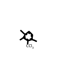 Cc1ccc(C)c(C(Cl)(Cl)Cl)c1C